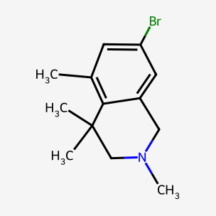 Cc1cc(Br)cc2c1C(C)(C)CN(C)C2